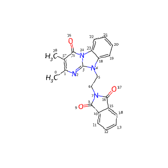 Cc1nc2n(CCN3C(=O)c4ccccc4C3=O)c3ccccc3n2c(=O)c1C